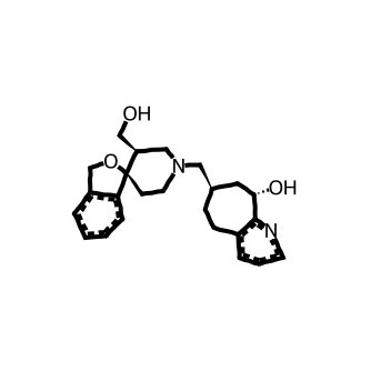 OC[C@H]1CN(C[C@@H]2CCc3cccnc3[C@@H](O)C2)CC[C@@]12OCc1ccccc12